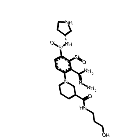 N/N=C(\N)c1c(N2CCCC(C(=O)NCCCO)C2)ccc([S+]([O-])N[C@@H]2CCNC2)c1[S+]=O